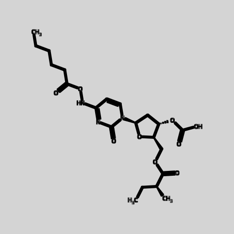 CCCCCC(=O)ONc1ccn([C@H]2C[C@H](OC(=O)O)[C@@H](COC(=O)[C@@H](C)CC)O2)c(=O)n1